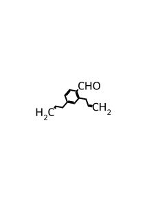 C=CCc1ccc(C=O)c(CC=C)c1